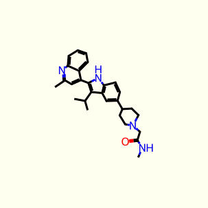 CNC(=O)CN1CCC(c2ccc3[nH]c(-c4cc(C)nc5ccccc45)c(C(C)C)c3c2)CC1